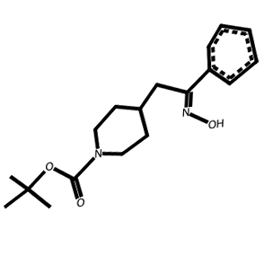 CC(C)(C)OC(=O)N1CCC(CC(=NO)c2ccccc2)CC1